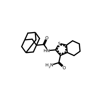 NC(=O)c1c(NC(=O)C23CC4CC(CC(C4)C2)C3)sc2c1CCCC2